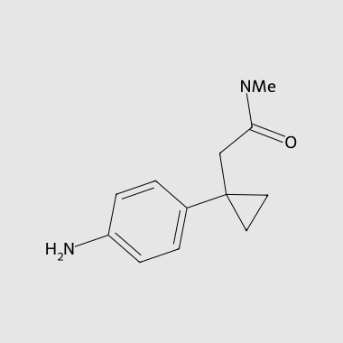 CNC(=O)CC1(c2ccc(N)cc2)CC1